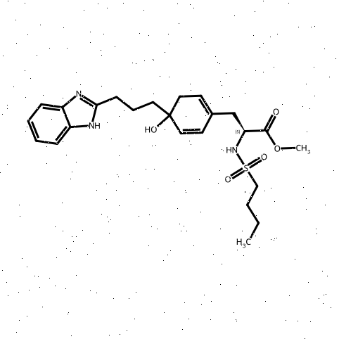 CCCCS(=O)(=O)N[C@@H](CC1=CCC(O)(CCCc2nc3ccccc3[nH]2)C=C1)C(=O)OC